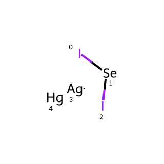 I[Se]I.[Ag].[Hg]